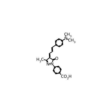 CC1=NN(c2ccc(C(=O)O)cc2)C(=O)C1=CC=Cc1ccc(N(C)C)cc1